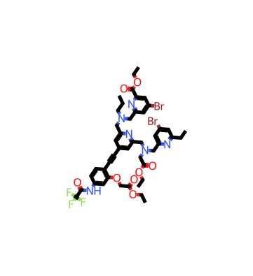 CCCN(Cc1cc(C#Cc2ccc(NC(=O)C(F)(F)F)cc2OCC(=O)OCC)cc(CN(CC(=O)OCC)Cc2cc(Br)cc(CC)n2)n1)Cc1cc(Br)cc(C(=O)OCC)n1